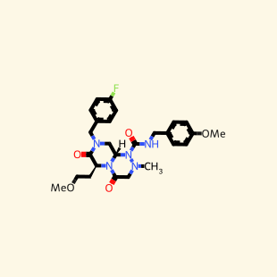 COCC[C@H]1C(=O)N(Cc2ccc(F)cc2)C[C@H]2N1C(=O)CN(C)N2C(=O)NCc1ccc(OC)cc1